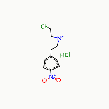 CN(CCCl)CCc1ccc([N+](=O)[O-])cc1.Cl